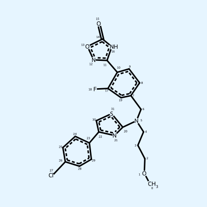 COCCCN(Cc1ccc(-c2noc(=O)[nH]2)c(F)c1)c1nc(-c2ccc(Cl)cc2)cs1